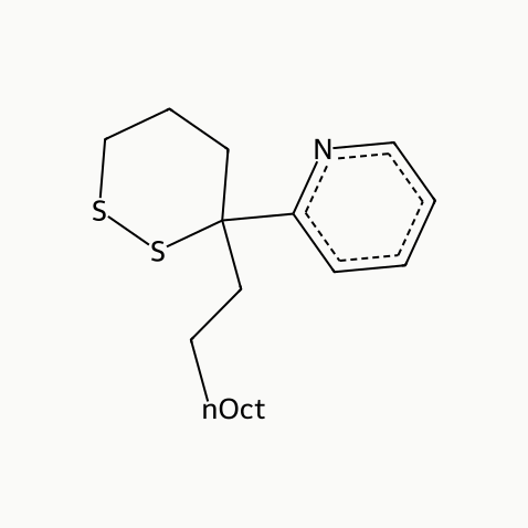 CCCCCCCCCCC1(c2ccccn2)CCCSS1